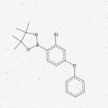 CCc1cc(Oc2ccccc2)ccc1B1OC(C)(C)C(C)(C)O1